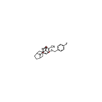 N#Cc1ccc(N2C3CCC2CN(C(=O)CSCc2ccc(F)cc2)C3)nc1